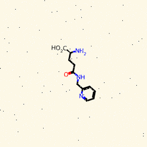 N[C@@H](CCC(=O)NCc1ccccn1)C(=O)O